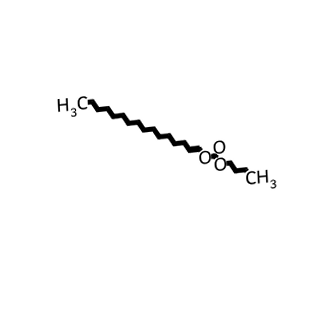 CCCCCCCCCCCCCCC=COC(=O)OCCCC